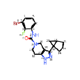 O=C(Nc1cccc(Br)c1F)N1CCc2[nH]nc(C34CCCC3C4)c2C1